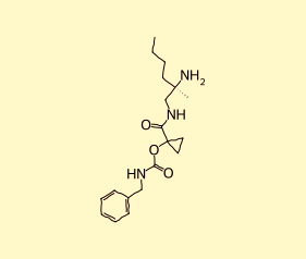 CCCC[C@@](C)(N)CNC(=O)C1(OC(=O)NCc2ccccc2)CC1